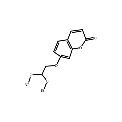 CCOC(COc1ccc2ccc(=O)oc2c1)OCC